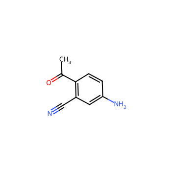 CC(=O)c1ccc(N)cc1C#N